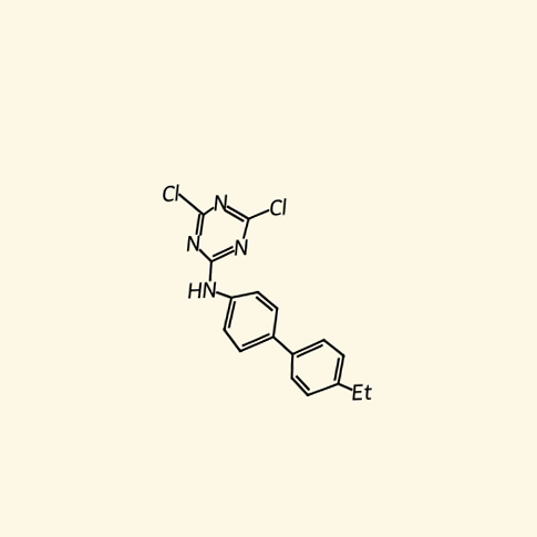 CCc1ccc(-c2ccc(Nc3nc(Cl)nc(Cl)n3)cc2)cc1